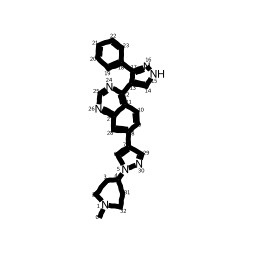 CN1CCC(n2cc(-c3ccc4c(-c5c[nH]nc5-c5ccccc5)ncnc4c3)cn2)CC1